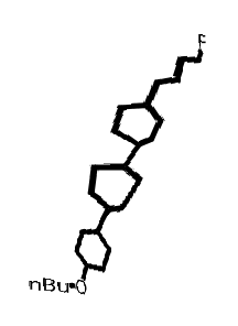 CCCCOC1CCC(C2CCC(C3CCC(C/C=C/CF)CC3)CC2)CC1